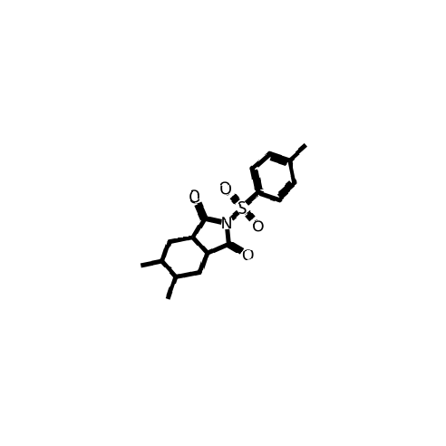 Cc1ccc(S(=O)(=O)N2C(=O)C3CC(C)C(C)CC3C2=O)cc1